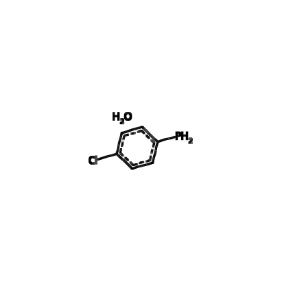 O.Pc1ccc(Cl)cc1